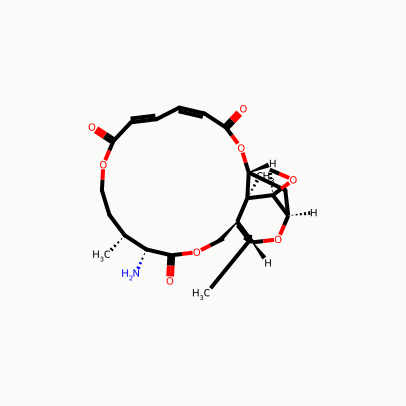 CC1=C[C@H]2O[C@@H]3C[C@H]4OC(=O)/C=C\C=C\C(=O)OCC[C@@H](C)[C@@H](N)C(=O)OC[C@@]2(CC1)[C@]4(C)[C@]31CO1